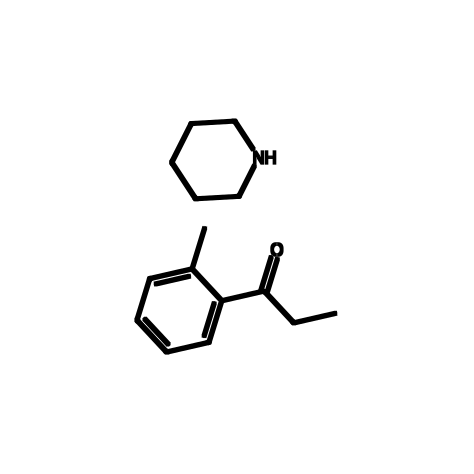 C1CCNCC1.CCC(=O)c1ccccc1C